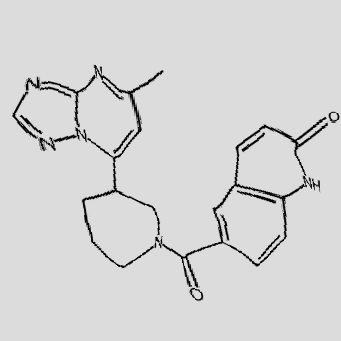 Cc1cc(C2CCCN(C(=O)c3ccc4[nH]c(=O)ccc4c3)C2)n2ncnc2n1